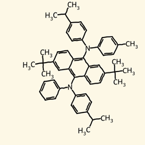 Cc1ccc(N(c2ccc(C(C)C)cc2)c2c3ccc(C(C)(C)C)cc3c(N(c3ccccc3)c3ccc(C(C)C)cc3)c3ccc(C(C)(C)C)cc23)cc1